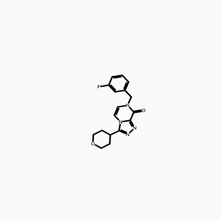 O=c1c2nnc(C3CCOCC3)n2ccn1Cc1cccc(F)c1